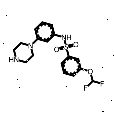 O=S(=O)(Nc1cccc(N2CCNCC2)c1)c1cccc(OC(F)F)c1